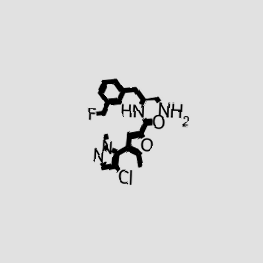 Cc1oc(C(=O)N[C@H](CN)Cc2cccc(CF)c2)cc1-c1c(Cl)cnn1C